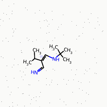 CC(C)/C(C=N)=C/NC(C)(C)C